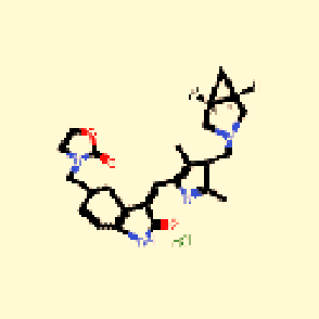 CC1=NC(C=C2C(=O)NC3=C2CC(CN2CCOC2=O)C=C3)=C(C)C1CN1C[C@H]2C[C@H]2C1.Cl